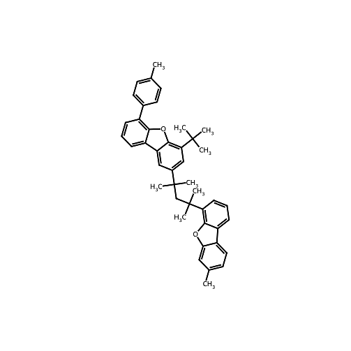 Cc1ccc(-c2cccc3c2oc2c(C(C)(C)C)cc(C(C)(C)CC(C)(C)c4cccc5c4oc4cc(C)ccc45)cc23)cc1